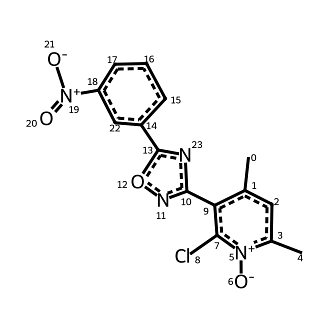 Cc1cc(C)[n+]([O-])c(Cl)c1-c1noc(-c2cccc([N+](=O)[O-])c2)n1